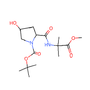 COC(=O)C(C)(C)NC(=O)C1CC(O)CN1C(=O)OC(C)(C)C